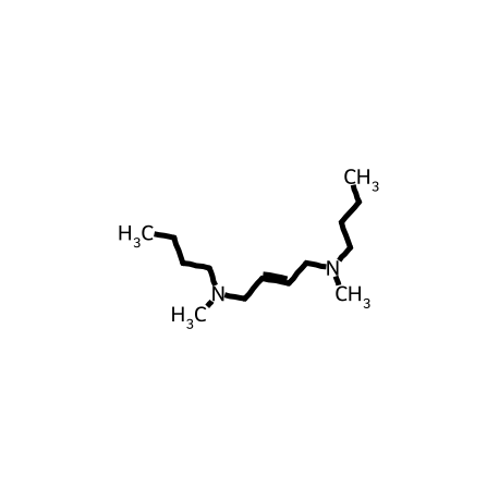 CCCCN(C)CC=CCN(C)CCCC